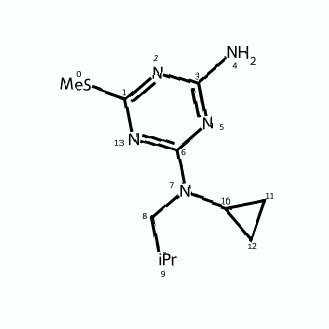 CSc1nc(N)nc(N(CC(C)C)C2CC2)n1